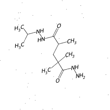 CC(C)NNC(=O)C(C)CC(C)(C)C(=O)NN